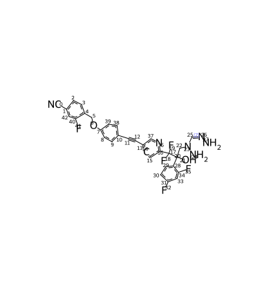 N#Cc1ccc(COc2ccc(C#Cc3ccc(C(F)(F)C(O)(CN(N)/C=N\N)c4ccc(F)cc4F)nc3)cc2)c(F)c1